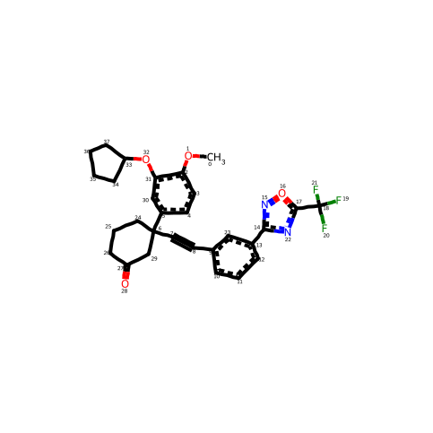 COc1ccc(C2(C#Cc3cccc(-c4noc(C(F)(F)F)n4)c3)CCCC(=O)C2)cc1OC1CCCC1